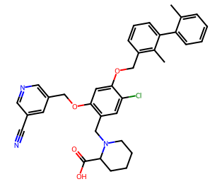 Cc1ccccc1-c1cccc(COc2cc(OCc3cncc(C#N)c3)c(CN3CCCCC3C(=O)O)cc2Cl)c1C